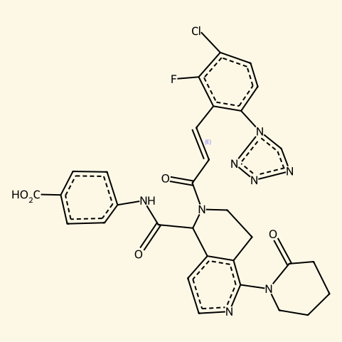 O=C(O)c1ccc(NC(=O)C2c3ccnc(N4CCCCC4=O)c3CCN2C(=O)/C=C/c2c(-n3cnnn3)ccc(Cl)c2F)cc1